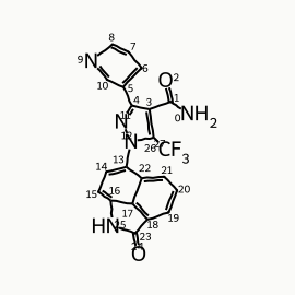 NC(=O)c1c(-c2cccnc2)nn(-c2ccc3c4c(cccc24)C(=O)N3)c1C(F)(F)F